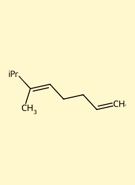 [CH]=CCCC=C(C)C(C)C